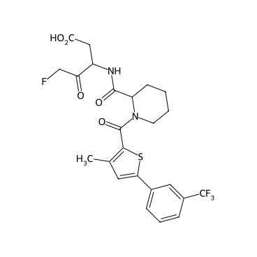 Cc1cc(-c2cccc(C(F)(F)F)c2)sc1C(=O)N1CCCCC1C(=O)NC(CC(=O)O)C(=O)CF